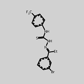 CC/C(=N\NC(=S)Nc1ccc(C(F)(F)F)cc1)c1cccc(Br)c1